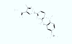 COc1ccc([N+](=O)[O-])cc1Nc1nccc(-n2cc(C(=O)O)c(C)n2)n1